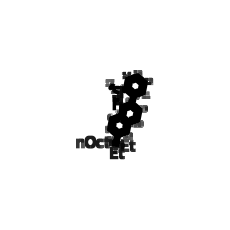 CCCCCCCCC(CC)(CC)c1ccc2cc(-c3ccccc3[SiH](C)C)ccc2c1